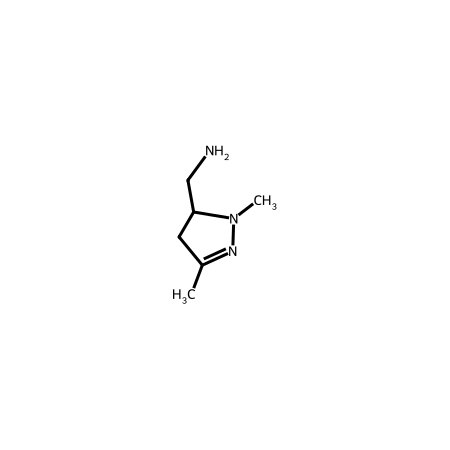 CC1=NN(C)C(CN)C1